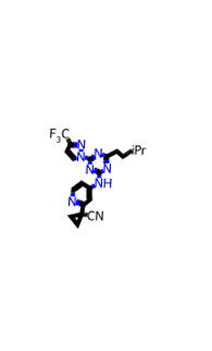 CC(C)CCc1nc(Nc2ccnc(C3(C#N)CC3)c2)nc(-n2ccc(C(F)(F)F)n2)n1